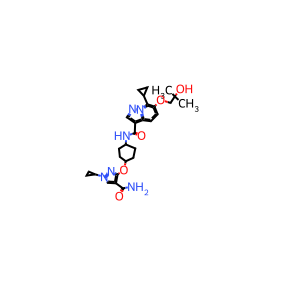 CC(C)(O)COc1ccc2c(C(=O)NC3CCC(Oc4nn(C5CC5)cc4C(N)=O)CC3)cnn2c1C1CC1